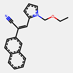 CCOCn1cccc1C=C(C#N)c1ccc2ccccc2c1